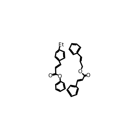 CCc1ccc(C=CC(=O)Oc2ccccc2)cc1.O=C(C=Cc1ccccc1)OCC=Cc1ccccc1